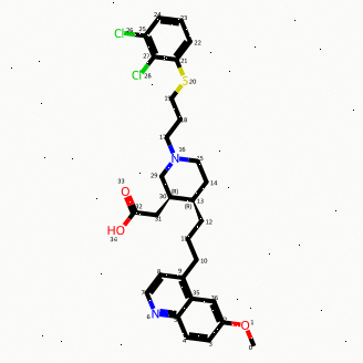 COc1ccc2nccc(CCC[C@@H]3CCN(CCCSc4cccc(Cl)c4Cl)C[C@@H]3CC(=O)O)c2c1